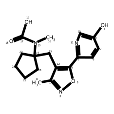 Cc1noc(-c2ccc(O)cn2)c1CC1(N(C)C(=O)O)CCCC1